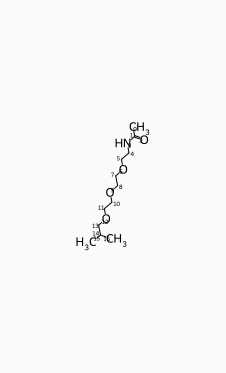 CC(=O)NCCOCCOCCOCC(C)C